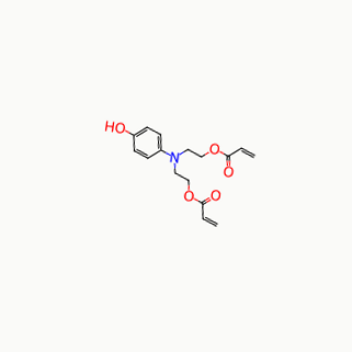 C=CC(=O)OCCN(CCOC(=O)C=C)c1ccc(O)cc1